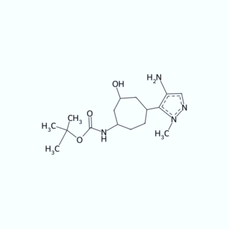 Cn1ncc(N)c1C1CCC(NC(=O)OC(C)(C)C)CC(O)C1